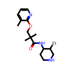 CCC1CNCCC1NC(=O)C(C)(C)COc1ncccc1C